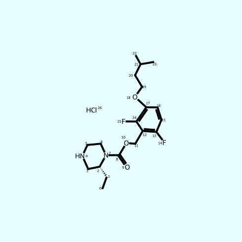 CC[C@@H]1CNCCN1C(=O)OCc1c(F)ccc(OCCC(C)C)c1F.Cl